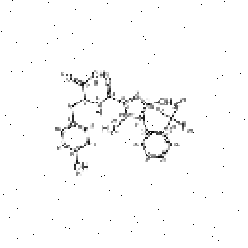 Cc1cc(C(=O)N[C@@H](Cc2ccc(O)cc2)C(=O)O)c(C)n1-c1ccccc1C(F)(F)F